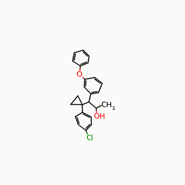 CC(O)C(c1cccc(Oc2ccccc2)c1)C1(c2ccc(Cl)cc2)CC1